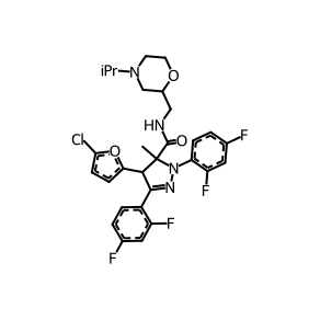 CC(C)N1CCOC(CNC(=O)C2(C)C(c3ccc(Cl)o3)C(c3ccc(F)cc3F)=NN2c2ccc(F)cc2F)C1